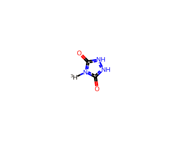 [3H]n1c(=O)[nH][nH]c1=O